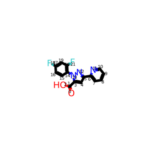 O=C(O)c1cc(-c2ccccn2)nn1-c1ccc(F)cc1F